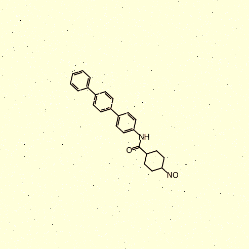 O=NC1CCC(C(=O)Nc2ccc(-c3ccc(-c4ccccc4)cc3)cc2)CC1